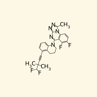 Cc1nnc2nc(N3CCCc4c(C#CC(C)(C)C(F)F)cccc43)c3c(F)c(F)ccc3n12